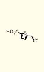 O=C(O)c1ccc(CBr)s1